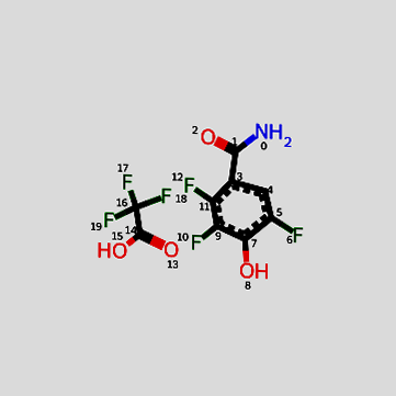 NC(=O)c1cc(F)c(O)c(F)c1F.O=C(O)C(F)(F)F